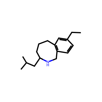 CCc1ccc2c(c1)CCCC(CC(C)C)NC2